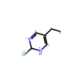 CCC1=CNC(Cl)N=C1